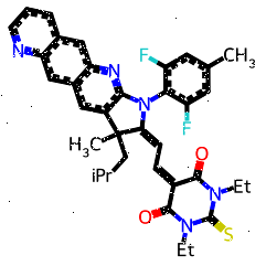 CCN1C(=O)C(=C/C=C2/N(c3c(F)cc(C)cc3F)c3nc4cc5cccnc5cc4cc3C2(C)CC(C)C)C(=O)N(CC)C1=S